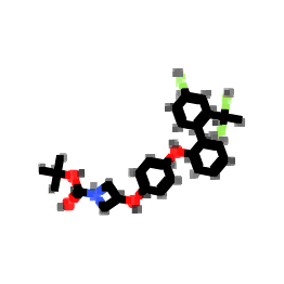 CC(C)(C)OC(=O)N1CC(Oc2ccc(Oc3ccccc3-c3ccc(F)cc3C(C)(F)F)cc2)C1